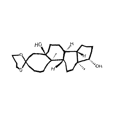 C[C@]12CC[C@H]3[C@@H](CC[C@@]4(O)CC5(CC[C@]34C)OCCO5)[C@@H]1CC[C@@H]2O